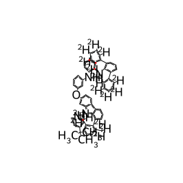 [2H]c1c([2H])c([2H])c(-c2cccc(-c3c([2H])c([2H])c([2H])c([2H])c3[2H])c2Nc2ccccc2Nc2cccc(Oc3ccc4c5cccc(-c6c(C([2H])([2H])[2H])cccc6C([2H])([2H])[2H])c5n(-c5cc(C(C)(C)C)ccn5)c4c3)c2)c([2H])c1[2H]